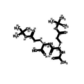 CC(=O)N[C@@H](CCC(=O)OC(C)(C)C)C(=O)N[C@@H](CCC(=O)OC(C)(C)C)C(=O)O